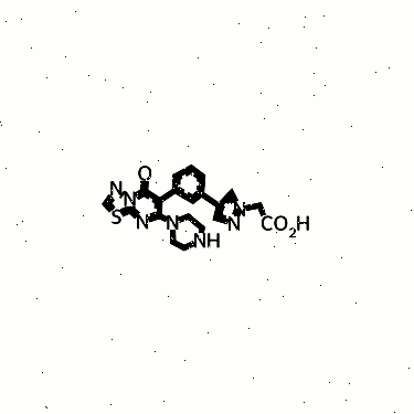 O=C(O)Cn1cc(-c2cccc(-c3c(N4CCNCC4)nc4scnn4c3=O)c2)cn1